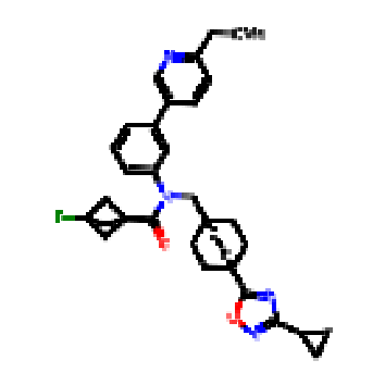 COCc1ccc(-c2cccc(N(CC34CCC(c5nc(C6CC6)no5)(CC3)CC4)C(=O)C34CC(F)(C3)C4)c2)cn1